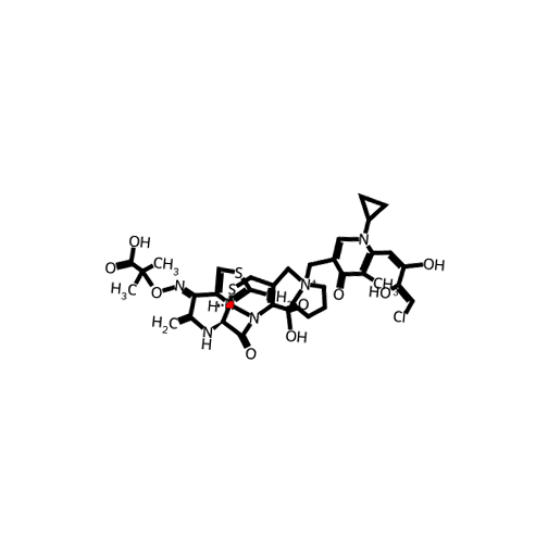 C=C(N[C@@H]1C(=O)N2C(C(=O)O)=C(C[N+]3(Cc4cn(C5CC5)c(/C=C(O)\C(O)=C\Cl)c(C)c4=O)CCCC3)CS[C@H]12)/C(=N\OC(C)(C)C(=O)O)c1csc(N)n1